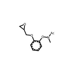 CC(=O)N(C)Oc1ccccc1OCC1CO1